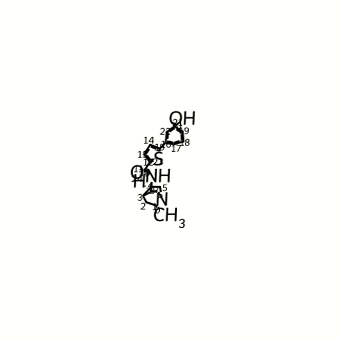 CC1CC2CCN1C[C@@H]2NC(=O)c1ccc(-c2cccc(O)c2)s1